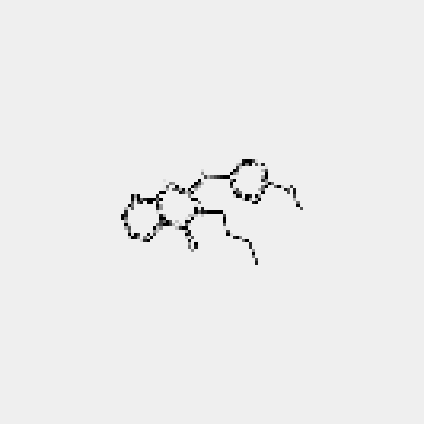 CCCCn1c(=Nc2ccc(OC)cc2)sc2ncccc2c1=O